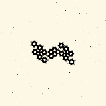 c1ccc(N(c2cccc(C3(c4cccc(C5CCCCC5)c4)c4ccccc4-c4ccccc43)c2)c2ccc3ccc4c(N(c5ccccc5)c5cccc(C6(c7cccc(C8CCCCC8)c7)c7ccccc7-c7ccccc76)c5)ccc5ccc2c3c54)cc1